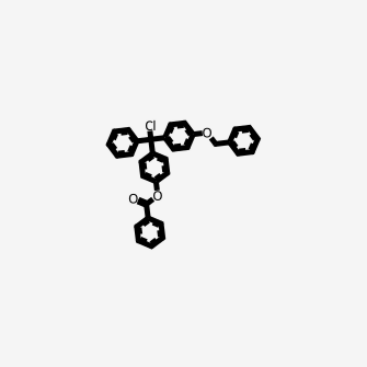 O=C(Oc1ccc(C(Cl)(c2ccccc2)c2ccc(OCc3ccccc3)cc2)cc1)c1ccccc1